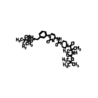 CC(C)(C)OC(=O)NC(C)(C)C(=O)N1CCN(C(=O)Nc2ccn(-c3cccc(CCO[Si](C)(C)C(C)(C)C)c3)c(=O)n2)CC1